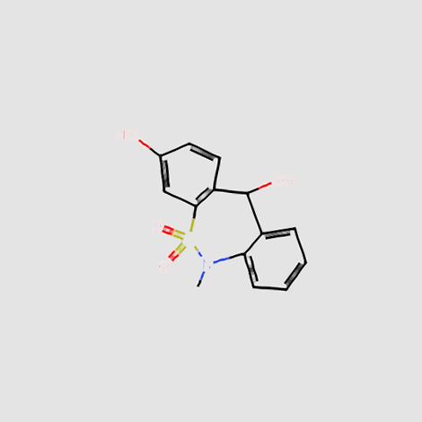 CN1c2ccccc2C(O)c2ccc(O)cc2S1(=O)=O